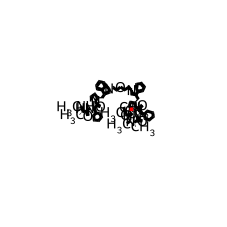 CN[C@@H](C)C(=O)N[C@H](C(=O)N1CCC[C@H]1Cc1cn(CCOCCn2cc(C[C@@H]3CCCN3C(=O)[C@@H](NC(=O)[C@H](C)N(C)C(=O)OC(C)(C)C)C3CCCCC3)c3ccccc32)c2ccccc12)C1CCCCC1